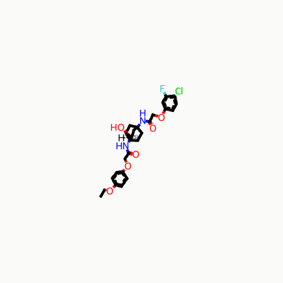 CCOc1ccc(OCC(=O)NC23CCC(NC(=O)COc4ccc(Cl)c(F)c4)(CC2)C[C@@H]3O)cc1